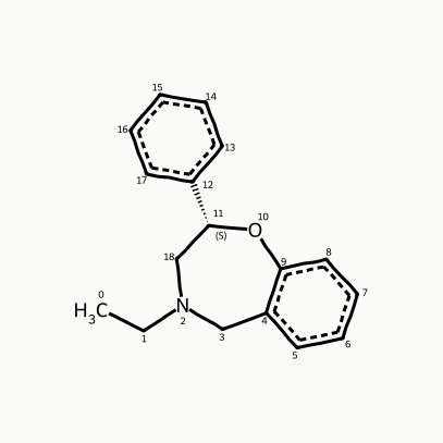 CCN1Cc2ccccc2O[C@@H](c2ccccc2)C1